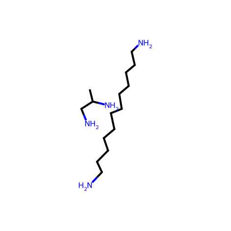 CC(N)CN.NCCCCCCCCCCCCN